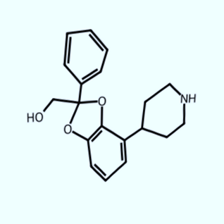 OCC1(c2ccccc2)Oc2cccc(C3CCNCC3)c2O1